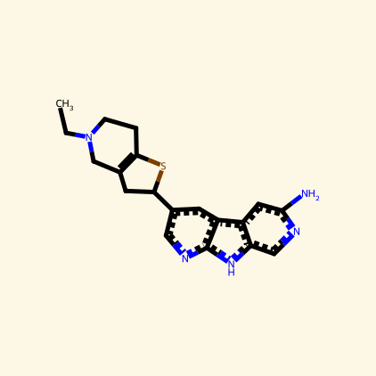 CCN1CCC2=C(CC(c3cnc4[nH]c5cnc(N)cc5c4c3)S2)C1